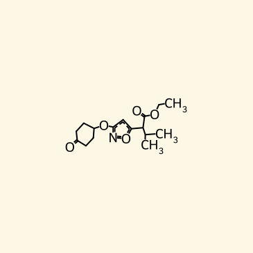 CCOC(=O)C(c1cc(OC2CCC(=O)CC2)no1)C(C)C